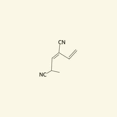 C=C/C(C#N)=C\C(C)C#N